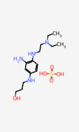 CCN(CC)CCNc1ccc(NCCCO)cc1N.O=S(=O)(O)O